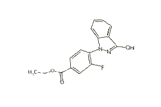 CCOC(=O)c1ccc(-n2nc(O)c3ccccc32)c(F)c1